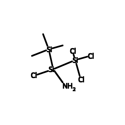 C[Si](C)(C)[Si](N)(Cl)[Si](Cl)(Cl)Cl